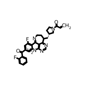 C=CC(=O)N1CC[C@@H](CC2CCN=C(c3ccc(C(=O)c4ccccc4F)cc3F)c3c(N)ncnc32)C1